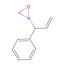 C=CC(c1ccccc1)N1CO1